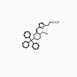 CCOC(=O)CCn1ccc(C=C2CN(C(c3ccccc3)(c3ccccc3)c3ccccc3)CC[C@@H]2SC(C)=O)n1